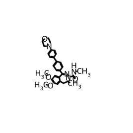 CNC(=O)N1N=C(c2ccc(-c3ccc(N4CCOCC4)cc3)cc2)c2cc(OC)c(OC)cc2CC1C